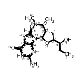 CC[C@H](O)[C@@H]1C[C@@H]([C@@H](C)N(C)C)[C@H](n2c(=O)sc3c(=O)[nH]c(N)nc32)O1